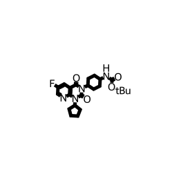 CC(C)(C)OC(=O)NC1CCC(n2c(=O)c3cc(F)cnc3n(C3CCCC3)c2=O)CC1